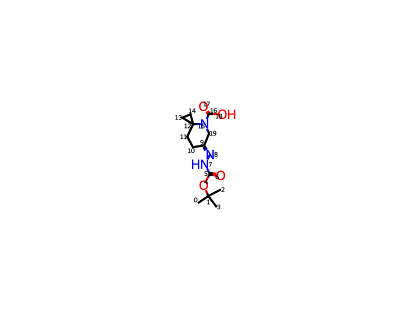 CC(C)(C)OC(=O)N/N=C1\CCC2(CC2)N(C(=O)O)C1